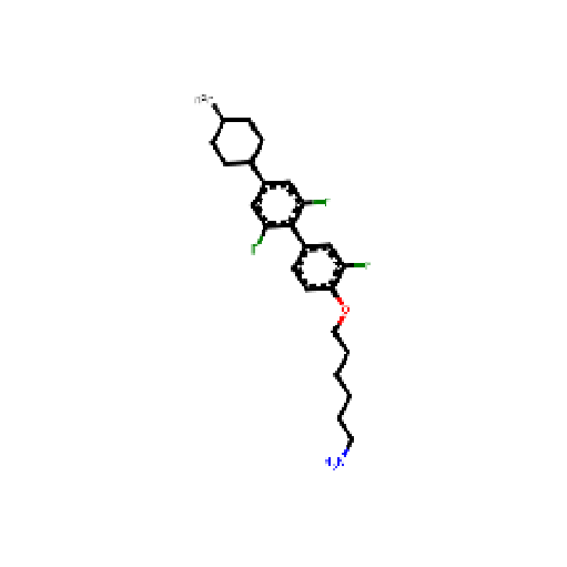 CCCC1CCC(c2cc(F)c(-c3ccc(OCCCCCCN)c(F)c3)c(F)c2)CC1